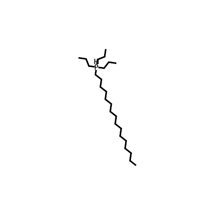 CCCCCCCCCCCCCCCC[PH](CCC)(CCC)CCC